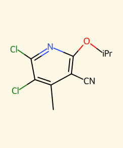 Cc1c(Cl)c(Cl)nc(OC(C)C)c1C#N